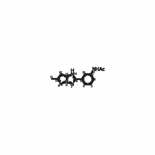 CC(=O)Nc1cccc(-c2nn3nc(C)cc3[nH]2)c1